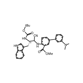 COC(=O)c1cc(-c2cccc(N(C)C)c2)ccc1NC(C#N)[C@H](Cc1c[nH]c2ccccc12)NC(=O)OC(C)(C)C